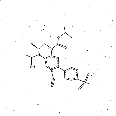 CC(C)OC(=O)N1C[C@H](C)N(C(C)O)c2cc(C#N)c(-c3ccc(S(C)(=O)=O)cc3)cc21